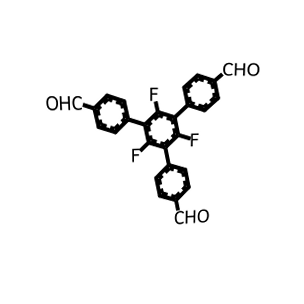 O=Cc1ccc(-c2c(F)c(-c3ccc(C=O)cc3)c(F)c(-c3ccc(C=O)cc3)c2F)cc1